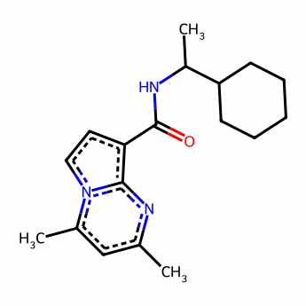 Cc1cc(C)n2ccc(C(=O)NC(C)C3CCCCC3)c2n1